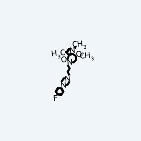 CCn1cc(C)c2c1C(OC)CCN(CCCCN1CCN(c3ccc(F)cc3)CC1)C2=O